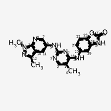 Cc1cnc(Nc2cnc3c(c2)c(C)nn3C)nc1Nc1ccc2oc(=O)[nH]c2c1